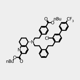 CCCCOC(=O)c1ccc(CCN(CCc2ccccc2CCc2ccc(-c3ccc(C(F)(F)F)cc3)cc2Cl)[C@H]2CCCc3nc(C(=O)OCCCC)ccc32)cc1